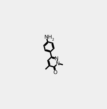 Cc1cc(-c2ccc(N)cc2)nn(C)c1=O